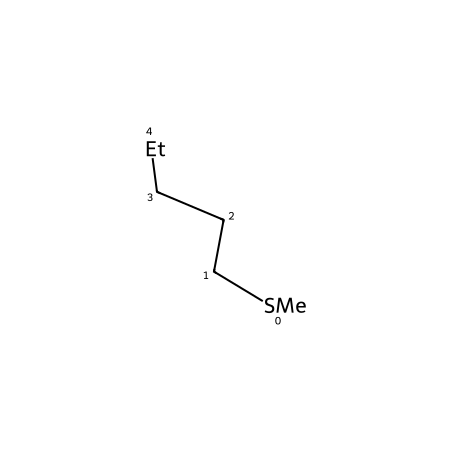 [C]SCCCCC